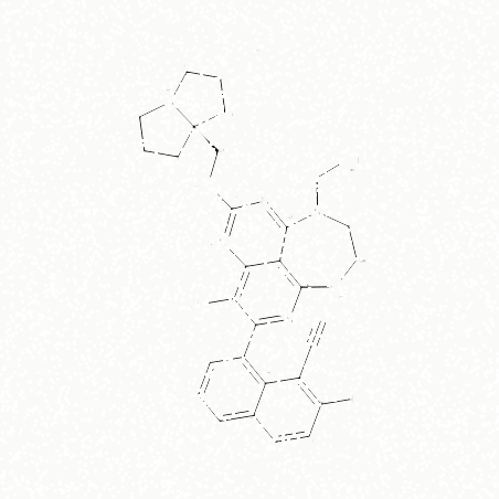 C#Cc1c(F)ccc2cccc(-c3nc4c5c(nc(OC[C@@]67CCCN6C[C@H](F)C7)nc5c3F)N(CC)CCO4)c12